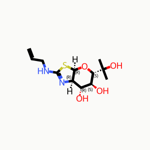 C=CCNC1=N[C@@H]2[C@@H](O)[C@H](O)[C@@H](C(C)(C)O)O[C@@H]2S1